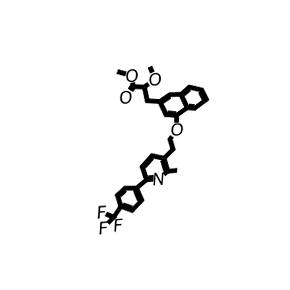 COC(=O)C(Cc1cc(OCCc2ccc(-c3ccc(C(F)(F)F)cc3)nc2C)c2ccccc2c1)OC